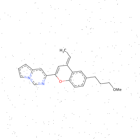 C/C=C1\C=C(c2cc3cccn3cn2)Oc2ccc(CCCOC)cc21